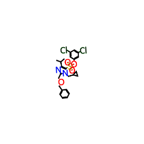 CC(C)c1nc(COCc2ccccc2)n(CC2CC2)c1S(=O)(=O)Oc1cc(Cl)cc(Cl)c1